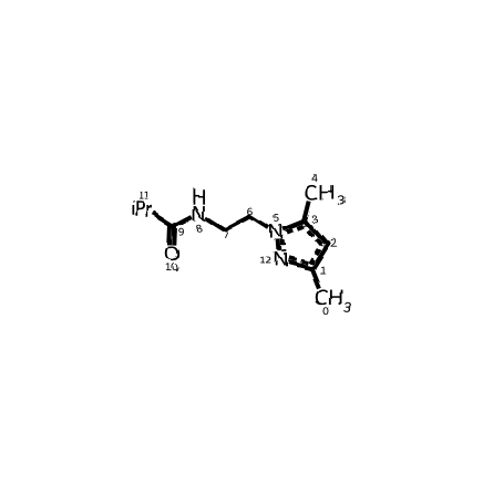 Cc1cc(C)n(CCNC(=O)C(C)C)n1